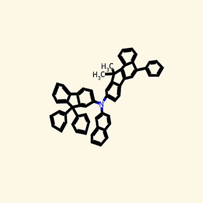 CC1(C)c2cc(N(c3ccc4c(c3)C(c3ccccc3)(c3ccccc3)c3ccccc3-4)c3ccc4ccccc4c3)ccc2-c2cc(-c3ccccc3)c3ccccc3c21